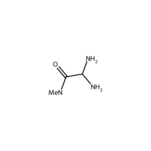 CNC(=O)C(N)N